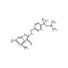 CN(C)CC1(c2ccc(CCN3Cc4cc(Cl)cc(N)c4C3=O)cc2)CC1